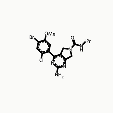 COc1cc(-c2nc(N)nc3c2CN(C(=O)NC(C)C)C3)c(Cl)cc1Br